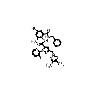 Cc1cc(C#N)cc(C(=O)NCc2ccccc2)c1NC(=O)c1cc(Cn2nc(C(F)(F)F)c(C(F)(F)F)n2)nn1-c1ncccc1Cl